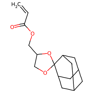 C=CC(=O)OCC1COC2(O1)C1CC3CC(C1)CC2C3